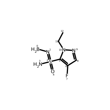 BN=S(N)(=O)c1c(F)cnn1CC